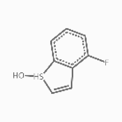 O[SH]1C=Cc2c(F)cccc21